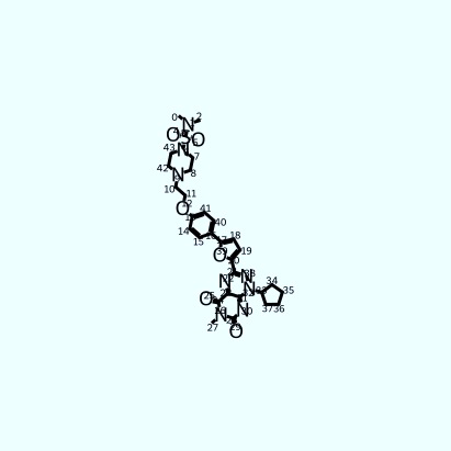 CN(C)S(=O)(=O)N1CCN(CCOc2ccc(-c3ccc(-c4nc5c(=O)n(C)c(=O)nc-5n(C5CCCC5)n4)o3)cc2)CC1